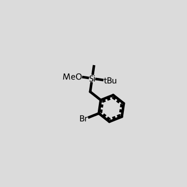 CO[Si](C)(Cc1ccccc1Br)C(C)(C)C